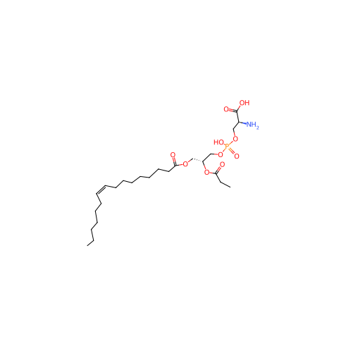 CCCCCC/C=C\CCCCCCCC(=O)OC[C@H](COP(=O)(O)OC[C@H](N)C(=O)O)OC(=O)CC